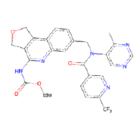 Cc1ncncc1N(Cc1ccc2c3c(c(NC(=O)OC(C)(C)C)nc2c1)COC3)C(=O)c1ccc(C(F)(F)F)nc1